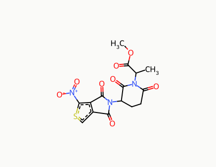 COC(=O)C(C)N1C(=O)CCC(N2C(=O)c3csc([N+](=O)[O-])c3C2=O)C1=O